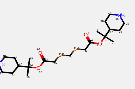 CC(C)(OC(=O)CSCSCC(=O)OC(C)(C)C1CCNCC1)C1CCNCC1